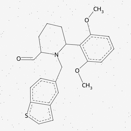 COc1cccc(OC)c1C1CCCC(C=O)N1Cc1ccc2sccc2c1